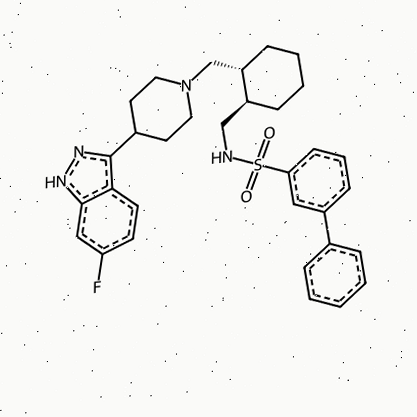 O=S(=O)(NC[C@@H]1CCCC[C@H]1CN1CCC(c2n[nH]c3cc(F)ccc23)CC1)c1cccc(-c2ccccc2)c1